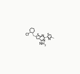 Cc1csc(-c2nc(N)c3cc(Cc4ccccc4Cl)sc3n2)n1